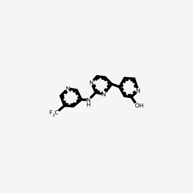 Oc1cc(-c2ccnc(Nc3cncc(C(F)(F)F)c3)n2)ccn1